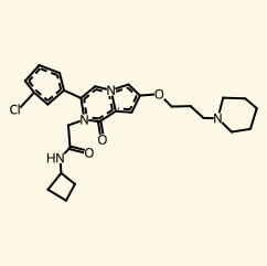 O=C(Cn1c(-c2cccc(Cl)c2)cn2cc(OCCCN3CCCCC3)cc2c1=O)NC1CCC1